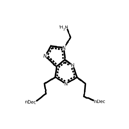 CCCCCCCCCCCCc1nc(CCCCCCCCCCCC)c2ncn(CN)c2n1